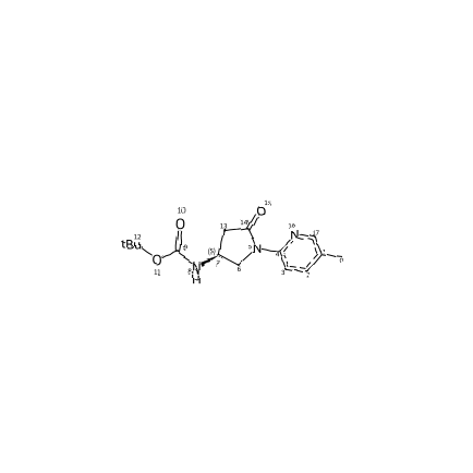 Cc1ccc(N2C[C@@H](NC(=O)OC(C)(C)C)CC2=O)nc1